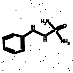 NP(N)(=O)NNc1ccccc1